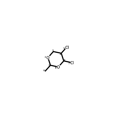 CC1OCC(Cl)C(Cl)O1